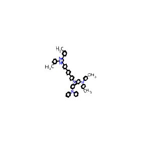 Cc1ccc(N(c2ccc(C)cc2)c2ccc3c(c2)c2cc(N(c4ccccc4)c4ccccc4)ccc2n3-c2ccc(-c3ccc(-c4ccc(-c5cc(-c6cccc(C)c6)nc(-c6cccc(C)c6)n5)cc4)cc3)cc2)cc1